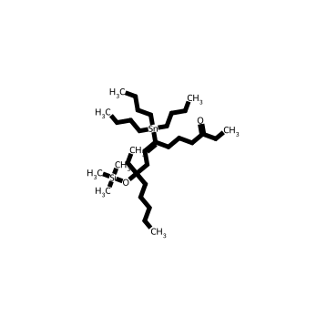 CCCCCC(CC)(C/C=[C](\CCCC(=O)CC)[Sn]([CH2]CCC)([CH2]CCC)[CH2]CCC)O[Si](C)(C)C